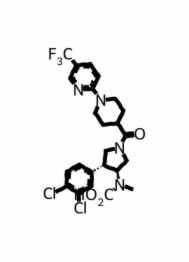 CN(C(=O)O)[C@@H]1CN(C(=O)C2CCN(c3ccc(C(F)(F)F)cn3)CC2)C[C@H]1c1ccc(Cl)c(Cl)c1